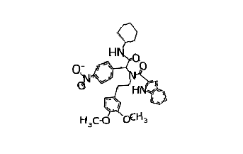 COc1ccc(CCN(C(=O)c2cc3ccccc3[nH]2)C(C(=O)NC2CCCCC2)c2ccc([N+](=O)[O-])cc2)cc1OC